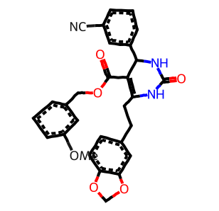 COc1cccc(COC(=O)C2=C(CCc3ccc4c(c3)OCO4)NC(=O)NC2c2cccc(C#N)c2)c1